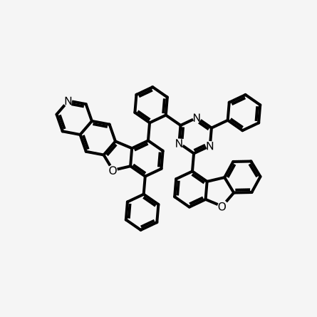 c1ccc(-c2nc(-c3ccccc3-c3ccc(-c4ccccc4)c4oc5cc6ccncc6cc5c34)nc(-c3cccc4oc5ccccc5c34)n2)cc1